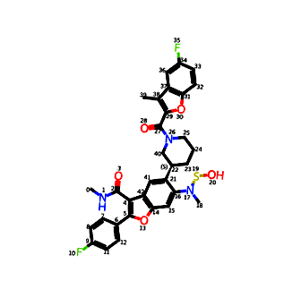 CNC(=O)c1c(-c2ccc(F)cc2)oc2cc(N(C)SO)c([C@@H]3CCCN(C(=O)c4oc5ccc(F)cc5c4C)C3)cc12